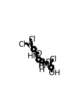 O=C(Nc1ccc2[nH]c(C(=O)Nc3cc(O)ccc3CCCl)cc2c1)c1ccc(N(CCCl)CCCl)cc1